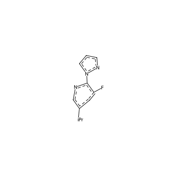 CC(C)c1cnc(-n2cccn2)c(F)c1